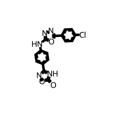 O=c1[nH]c(-c2ccc(Nc3nnc(-c4ccc(Cl)cc4)o3)cc2)no1